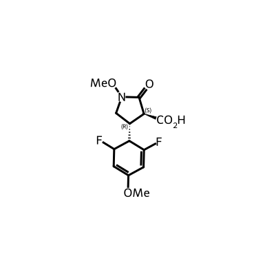 COC1=CC(F)C([C@@H]2CN(OC)C(=O)[C@H]2C(=O)O)C(F)=C1